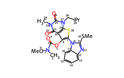 CON(C)C(=O)Oc1c(-n2c(SC)nc3ccccc32)sc2c1c(=O)n(C)c(=O)n2CC(C)C